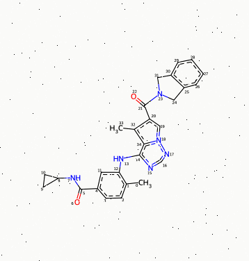 Cc1ccc(C(=O)NC2CC2)cc1Nc1ncnn2cc(C(=O)N3Cc4ccccc4C3)c(C)c12